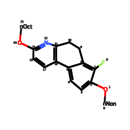 CCCCCCCCCOc1ccc2c(c1F)CCc1nc(OCCCCCCCC)ccc1-2